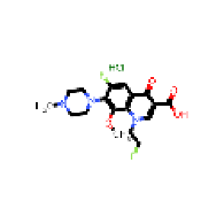 COc1c(N2CCN(C)CC2)c(F)cc2c(=O)c(C(=O)O)cn(CCF)c12.Cl